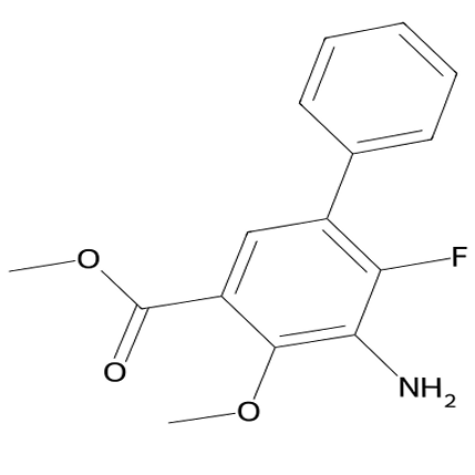 COC(=O)c1cc(-c2ccccc2)c(F)c(N)c1OC